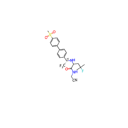 CC(C)(F)CC(N[C@@H](c1ccc(-c2ccc(S(C)(=O)=O)cc2)cc1)C(F)(F)F)C(=O)NCC#N